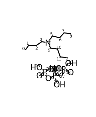 CCCCN(CCCC)CCCC.O=P(O)(O)OP(=O)(O)OP(=O)(O)O